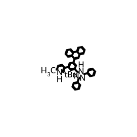 CC1C=CC(c2cc(C3=NC(c4ccccc4)=NC(c4ccccc4)N3)cc(-c3cc4ccccc4c4ccccc34)c2)=C(C(C)(C)C)N1